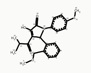 COCc1ccccc1C1C(C(=O)C(C)C)=C(O)C(=O)N1c1ccc(SC)cc1